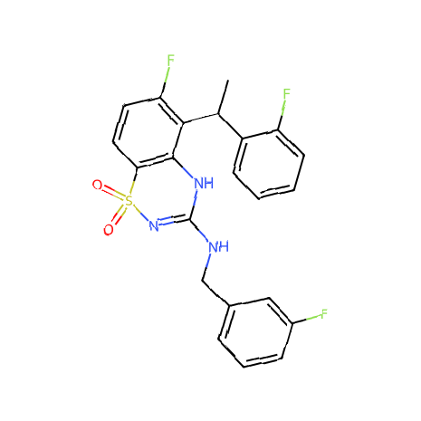 CC(c1ccccc1F)c1c(F)ccc2c1NC(NCc1cccc(F)c1)=NS2(=O)=O